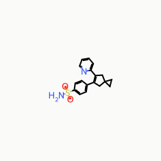 NS(=O)(=O)c1ccc(C2=C(c3ccccn3)CC3(CC3)C2)cc1